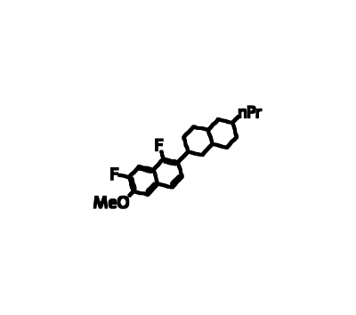 CCCC1CCC2CC(c3ccc4cc(OC)c(F)cc4c3F)CCC2C1